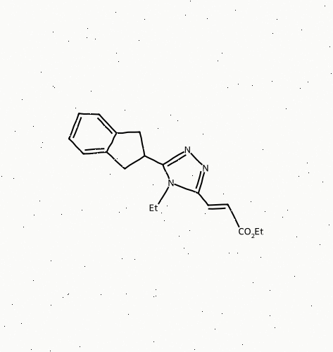 CCOC(=O)/C=C/c1nnc(C2Cc3ccccc3C2)n1CC